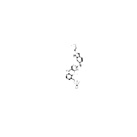 O=[SH](=O)NCc1ccccc1Nc1nc(Nc2ccc3cn(CCO)nc3c2)ncc1Br